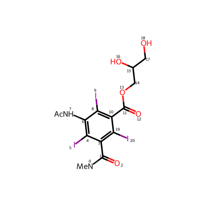 CNC(=O)c1c(I)c(NC(C)=O)c(I)c(C(=O)OCC(O)CO)c1I